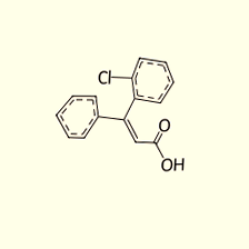 O=C(O)C=C(c1ccccc1)c1ccccc1Cl